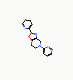 c1ccc(-c2nc3c(o2)CCN(c2ccccn2)C3)nc1